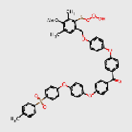 COc1c(C)cc(COc2ccc(Oc3ccc(C(=O)c4ccc(Oc5ccc(Oc6ccc(S(=O)(=O)c7ccc(C)cc7)cc6)cc5)cc4)cc3)cc2)c(SOOO)c1C